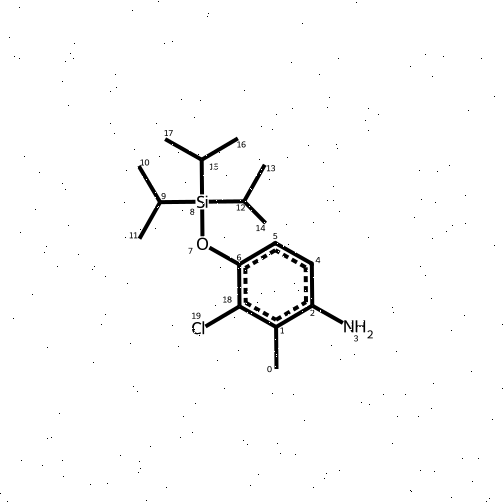 Cc1c(N)ccc(O[Si](C(C)C)(C(C)C)C(C)C)c1Cl